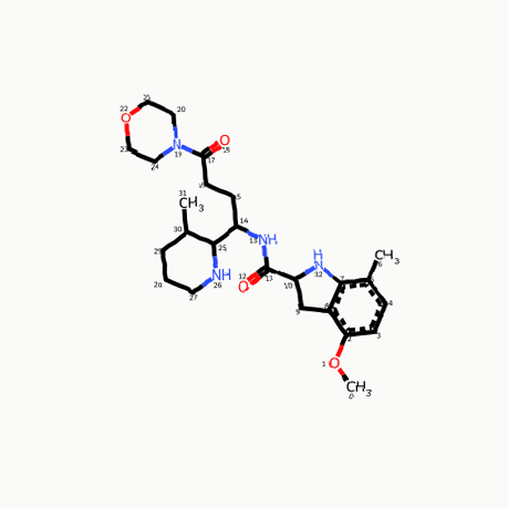 COc1ccc(C)c2c1CC(C(=O)NC(CCC(=O)N1CCOCC1)C1NCCCC1C)N2